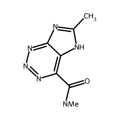 CNC(=O)c1nnnc2nc(C)[nH]c12